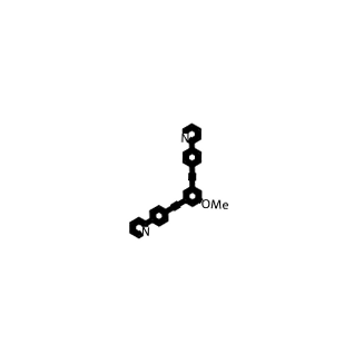 COc1cc(C#Cc2ccc(-c3ccccn3)cc2)cc(C#Cc2ccc(-c3ccccn3)cc2)c1